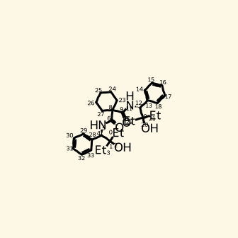 CCC(O)(CC)[C@H](NC(=O)C1(C(=O)N[C@H](c2ccccc2)C(O)(CC)CC)CCCCC1)c1ccccc1